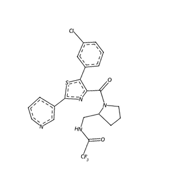 O=C(c1nc(-c2cccnc2)sc1-c1cccc(Cl)c1)N1CCCC1CNC(=O)C(F)(F)F